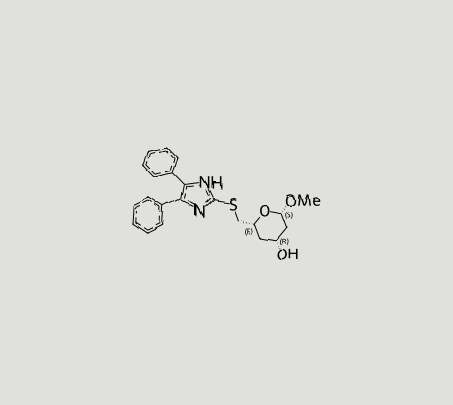 CO[C@@H]1C[C@H](O)C[C@H](CSc2nc(-c3ccccc3)c(-c3ccccc3)[nH]2)O1